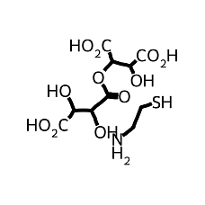 NCCS.O=C(O)C(O)C(O)C(=O)OC(C(=O)O)C(O)C(=O)O